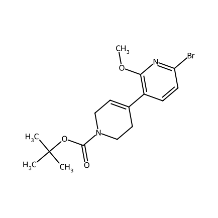 COc1nc(Br)ccc1C1=CCN(C(=O)OC(C)(C)C)CC1